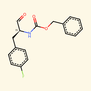 O=[C][C@H](Cc1ccc(F)cc1)NC(=O)OCc1ccccc1